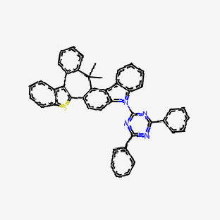 CC1(C)c2ccccc2-c2c(sc3ccccc23)-c2ccc3c(c21)c1ccccc1n3-c1nc(-c2ccccc2)nc(-c2ccccc2)n1